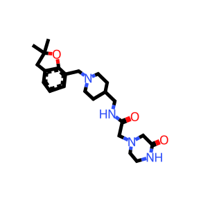 CC1(C)Cc2cccc(CN3CCC(CNC(=O)CN4CCNC(=O)C4)CC3)c2O1